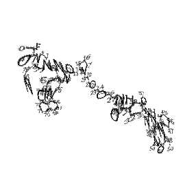 C=C(F)C(=O)N1CCN(c2nc(OC[C@@H]3CCCN3CCCOCCOCCNC(=O)c3ccc(Nc4ncc5c(n4)N(C4CCCC4)[C@H](CC)C(=O)N5C)c(OC)c3)nc3c2CCN(c2cccc4cccc(Cl)c24)C3)C[C@@H]1CC#N